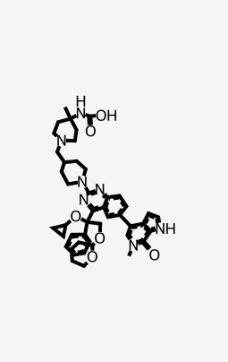 Cn1cc(-c2ccc3nc(N4CCC(CN5CCC(C)(NC(=O)O)CC5)CC4)nc(C(COC4CCCCO4)(OC4CC4)c4ccccc4)c3c2)c2cc[nH]c2c1=O